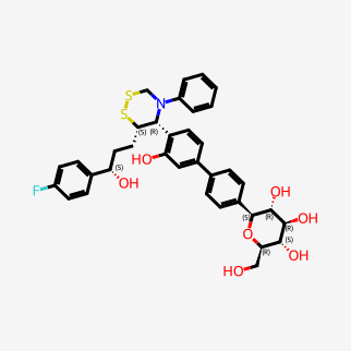 OC[C@H]1O[C@@H](c2ccc(-c3ccc([C@@H]4[C@H](CC[C@H](O)c5ccc(F)cc5)SSCN4c4ccccc4)c(O)c3)cc2)[C@H](O)[C@@H](O)[C@@H]1O